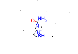 NC(=O)N1CCN2NC=CC2C1